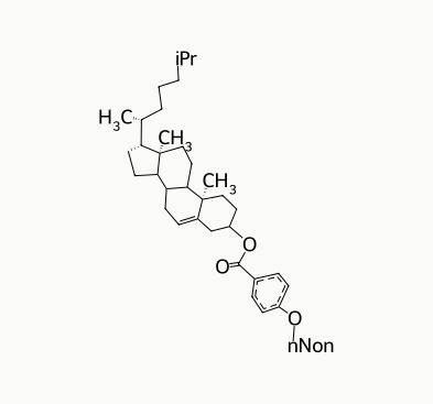 CCCCCCCCCOc1ccc(C(=O)OC2CC[C@@]3(C)C(=CCC4C3CC[C@@]3(C)C4CC[C@@H]3[C@H](C)CCCC(C)C)C2)cc1